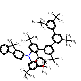 CC(C)(C)c1cc(-c2cc(-c3cc(C(C)(C)C)cc(N(c4cc(C(C)(C)C)cc(C(C)(C)C)c4)c4ccc5c(c4)C(C)(C)c4ccccc4-5)c3-c3ccccc3)cc(C(C)(C)C)c2)cc(-c2cc(C(C)(C)C)cc(C(C)(C)C)c2)c1